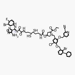 CCOC(=O)[C@@H]1C[C@H](OC(=O)NCCC(S)C(S)CCNC(=O)C(=O)/N=C(\Nc2ccc(F)c(Br)c2)c2nonc2N)CN1Cc1cc(Cl)c(OCc2cccc(-c3ccccc3)c2Br)cc1OCc1ccnc(C#N)c1